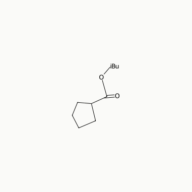 CCC(C)OC(=O)C1CCCC1